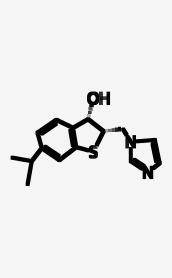 CC(C)c1ccc2c(c1)S[C@@H](Cn1ccnc1)[C@H]2O